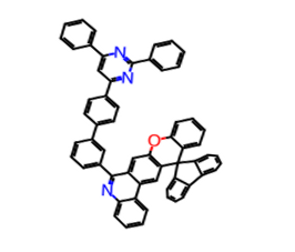 c1ccc(-c2cc(-c3ccc(-c4cccc(-c5nc6ccccc6c6cc7c(cc56)Oc5ccccc5C75c6ccccc6-c6ccccc65)c4)cc3)nc(-c3ccccc3)n2)cc1